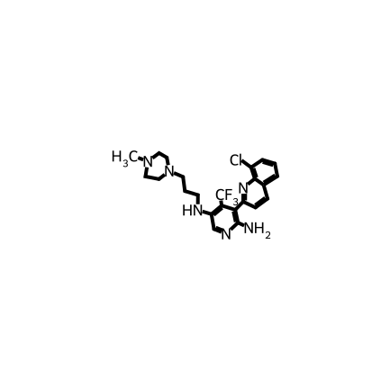 CN1CCN(CCCNc2cnc(N)c(-c3ccc4cccc(Cl)c4n3)c2C(F)(F)F)CC1